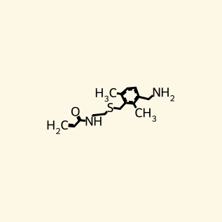 C=CC(=O)NCCSCc1c(C)ccc(CN)c1C